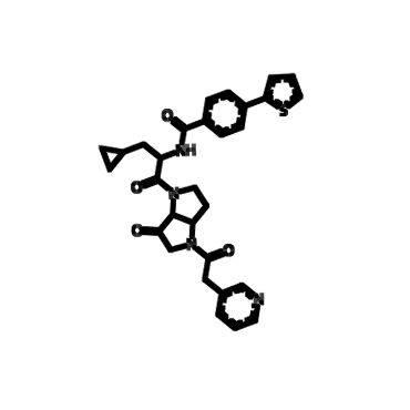 O=C(NC(CC1CC1)C(=O)N1CCC2C1C(=O)CN2C(=O)Cc1cccnc1)c1ccc(-c2cccs2)cc1